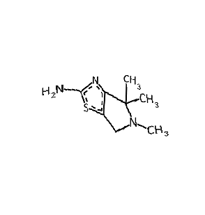 CN1Cc2sc(N)nc2C1(C)C